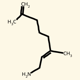 C=C(C)CCCC(C)=CCN